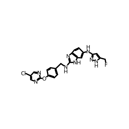 FCc1cc(Nc2ccc3nc(NCc4ccc(Oc5ncc(Cl)cn5)cc4)[nH]c3c2)n[nH]1